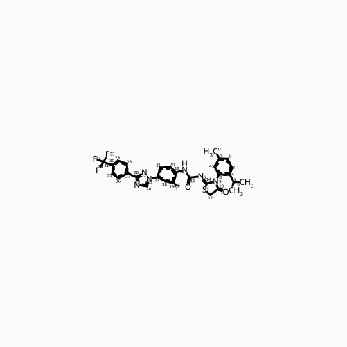 Cc1ccc(C(C)C)c(N2C(=O)CS/C2=N\C(=O)Nc2ccc(-n3cnc(-c4ccc(C(F)(F)F)cc4)n3)cc2F)c1